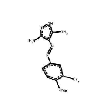 COc1ccc(N=Nc2c(N)n[nH]c2N)cc1C(F)(F)F